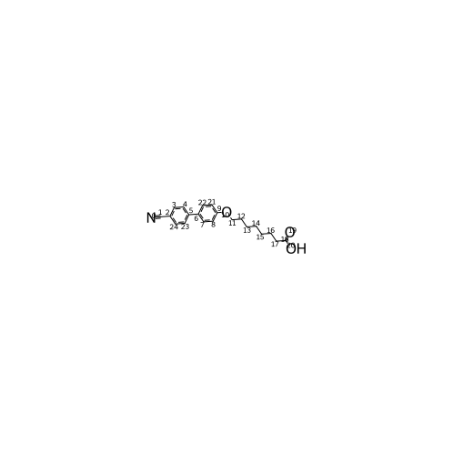 N#Cc1ccc(-c2ccc(OCCCCCCCC(=O)O)cc2)cc1